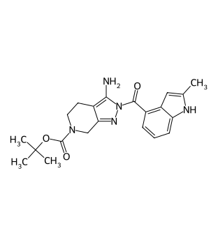 Cc1cc2c(C(=O)n3nc4c(c3N)CCN(C(=O)OC(C)(C)C)C4)cccc2[nH]1